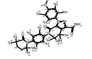 [2H]c1c([2H])c(-n2nc(C(N)=O)c3c2C(=O)N(c2c([2H])c([2H])c(N4C(=O)C([2H])([2H])CCC4([2H])[2H])c([2H])c2[2H])C([2H])([2H])C3([2H])[2H])c([2H])c([2H])c1OC